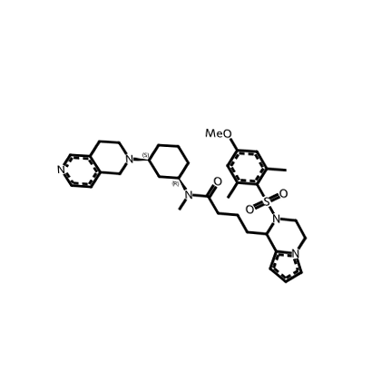 COc1cc(C)c(S(=O)(=O)N2CCn3cccc3C2CCCC(=O)N(C)[C@@H]2CCC[C@H](N3CCc4cnccc4C3)C2)c(C)c1